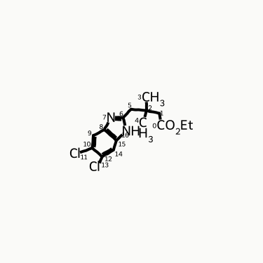 CCOC(=O)CC(C)(C)Cc1nc2cc(Cl)c(Cl)cc2[nH]1